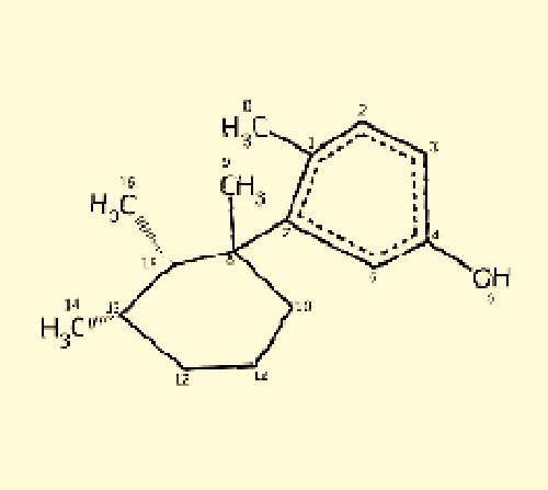 Cc1ccc(O)cc1C1(C)CCC[C@H](C)[C@@H]1C